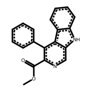 COC(=O)c1ncc2[nH]c3ccccc3c2c1-c1ccccc1